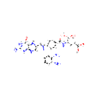 Nc1ccccc1N.Nc1nc2ncc(CNc3ccc(C(=O)NC(CCC(=O)O)C(=O)O)cc3)nc2c(=O)[nH]1